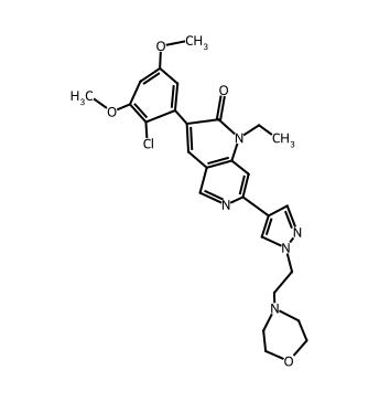 CCn1c(=O)c(-c2cc(OC)cc(OC)c2Cl)cc2cnc(-c3cnn(CCN4CCOCC4)c3)cc21